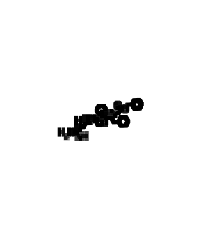 N=C(N)NCCCNC(=O)[C@H]1CCCCN1C(=O)C(CC1CCCCC1)NCC(=O)OCc1ccccc1